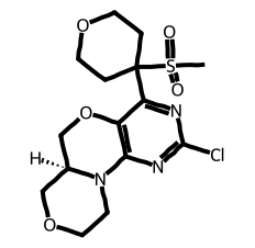 CS(=O)(=O)C1(c2nc(Cl)nc3c2OC[C@@H]2COCCN32)CCOCC1